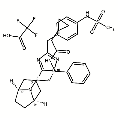 CS(=O)(=O)Nc1ccc(Cc2noc([C@@H]3C[C@H]4CC[C@@H](C3)N4CC[C@H](NC(=O)CC3CC3)c3ccccc3)n2)cc1.O=C(O)C(F)(F)F